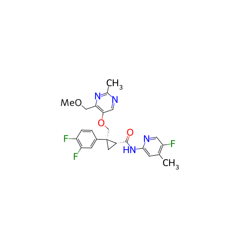 COCc1nc(C)ncc1OC[C@@]1(c2ccc(F)c(F)c2)C[C@H]1C(=O)Nc1cc(C)c(F)cn1